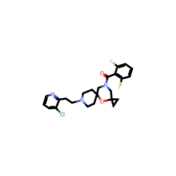 O=C(c1c(F)cccc1F)N1CC2(CCN(CCc3ncccc3Cl)CC2)OC2(CC2)C1